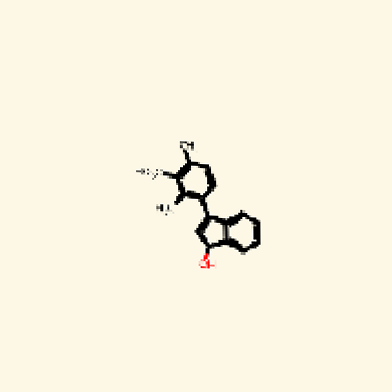 Cc1ccc(C2=CC(O)c3ccccc32)c(C)c1C(=O)O